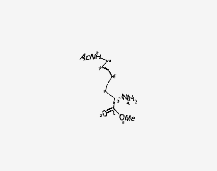 COC(=O)[C@@H](N)CCCCNC(C)=O